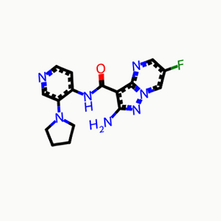 Nc1nn2cc(F)cnc2c1C(=O)Nc1ccncc1N1CCCC1